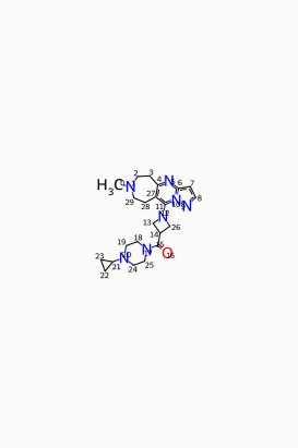 CN1CCc2nc3ccnn3c(N3CC(C(=O)N4CCN(C5CC5)CC4)C3)c2CC1